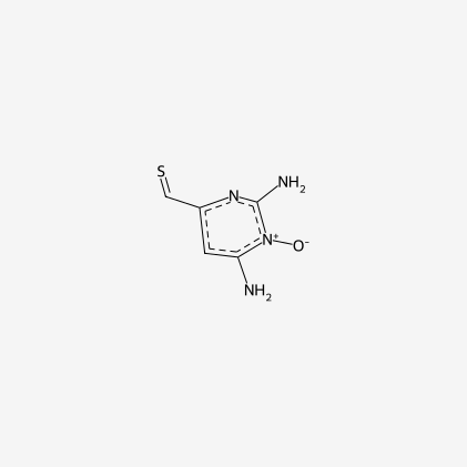 Nc1cc(C=S)nc(N)[n+]1[O-]